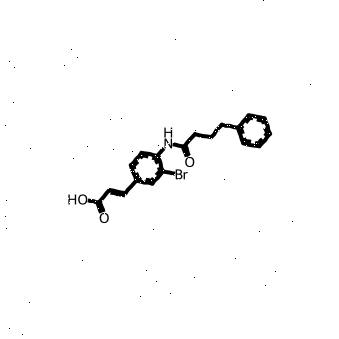 O=C(O)/C=C/c1ccc(NC(=O)CCCc2ccccc2)c(Br)c1